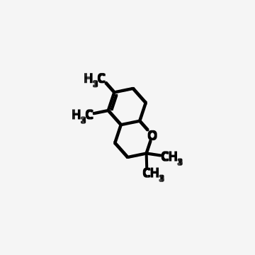 CC1=C(C)C2CCC(C)(C)OC2CC1